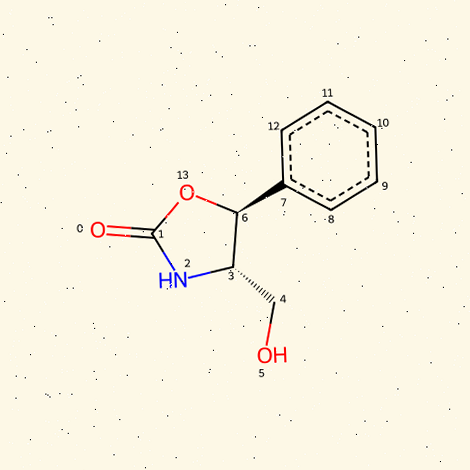 O=C1N[C@@H](CO)[C@H](c2ccccc2)O1